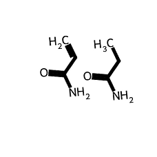 C=CC(N)=O.CCC(N)=O